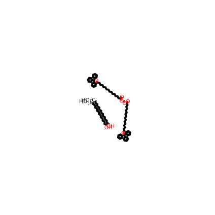 O=C(CCCCCCCCCCCCCCCOC(c1ccccc1)(c1ccccc1)c1ccccc1)OCOC(=O)CCCCCCCCCCCCCCCOC(c1ccccc1)(c1ccccc1)c1ccccc1.O=C(O)CCCCCCCCCCCCCCCO.O=C(O)CCCCCCCCCCCCCCCO